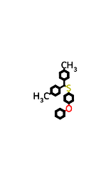 Cc1ccc(C(Sc2ccc(Oc3ccccc3)cc2)c2ccc(C)cc2)cc1